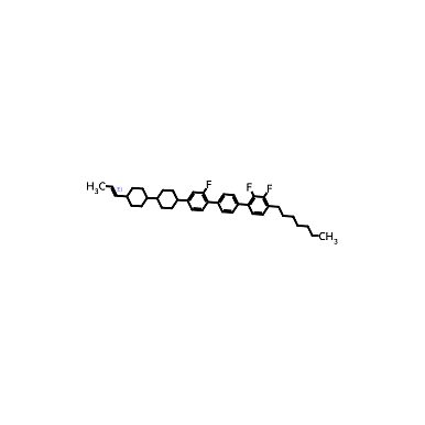 C/C=C/C1CCC(C2CCC(c3ccc(-c4ccc(-c5ccc(CCCCCCC)c(F)c5F)cc4)c(F)c3)CC2)CC1